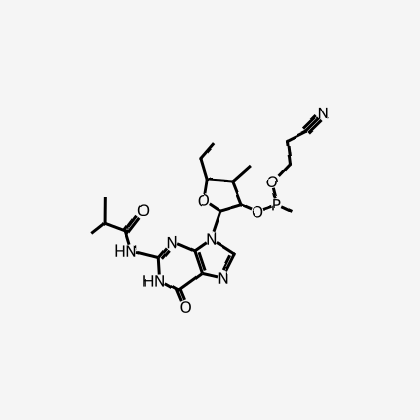 CCC1OC(n2cnc3c(=O)[nH]c(NC(=O)C(C)C)nc32)C(OP(C)OCCC#N)C1C